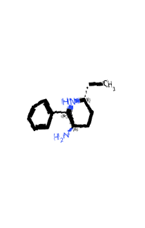 CC[C@@H]1CC[C@@H](N)[C@@H](c2ccccc2)N1